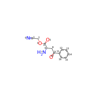 N#CCOC(=O)C(N)CC(=O)c1ccccc1